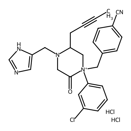 CC#CCC1C[N+](Cc2ccc(C#N)cc2)(c2cccc(Cl)c2)C(=O)CN1Cc1cnc[nH]1.Cl.Cl